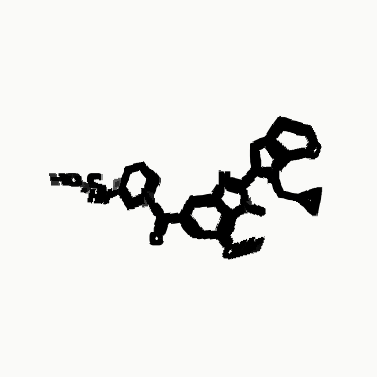 COc1cc(C(=O)N2CCC[C@@H](NC(=O)O)C2)cc2nc(-c3cc4ccoc4n3CC3CC3)n(C)c12